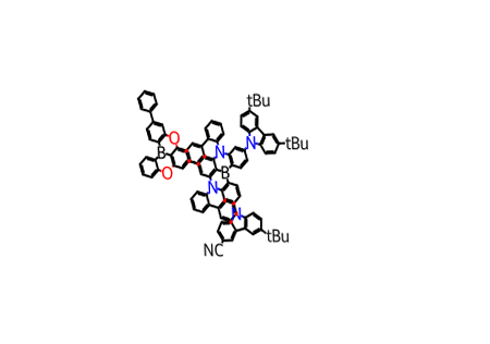 CC(C)(C)c1ccc2c(c1)c1cc(C#N)ccc1n2-c1ccc2c(c1)N(c1ccccc1-c1ccccc1)c1cc(-c3cc4c5c(c3)Oc3cc(-c6ccccc6)ccc3B5c3ccccc3O4)cc3c1B2c1ccc(-n2c4ccc(C(C)(C)C)cc4c4cc(C(C)(C)C)ccc42)cc1N3c1ccccc1-c1ccccc1